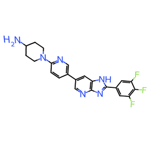 NC1CCN(c2ccc(-c3cnc4nc(-c5cc(F)c(F)c(F)c5)[nH]c4c3)cn2)CC1